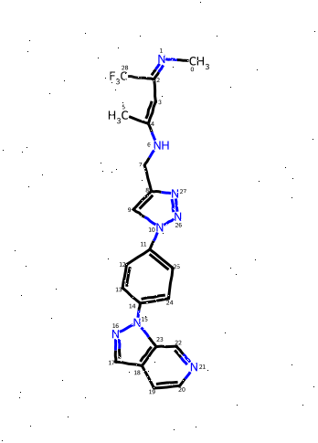 C/N=C(\C=C(/C)NCc1cn(-c2ccc(-n3ncc4ccncc43)cc2)nn1)C(F)(F)F